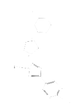 CC(C)n1nc(-c2cnc(C(F)(F)F)nc2)nc1[C@@H]1CC[C@H](N2CCO[C@@H](C)C2)C1